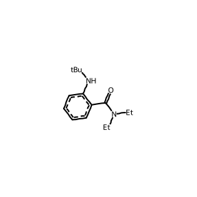 CCN(CC)C(=O)c1ccccc1NC(C)(C)C